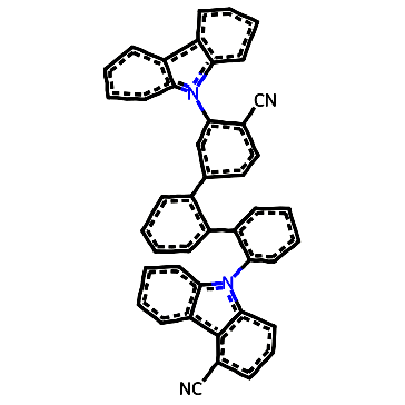 N#Cc1ccc(-c2ccccc2-c2ccccc2-n2c3ccccc3c3c(C#N)cccc32)cc1-n1c2ccccc2c2ccccc21